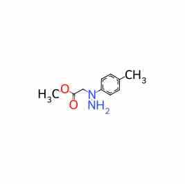 COC(=O)CN(N)c1ccc(C)cc1